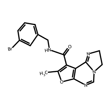 Cc1oc2c(c1C(=O)NCc1cccc(Br)c1)C1=NCCN1C=N2